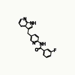 O=C(Nc1ccc(Cc2c[nH]c3ncccc23)cn1)c1cccc(F)c1